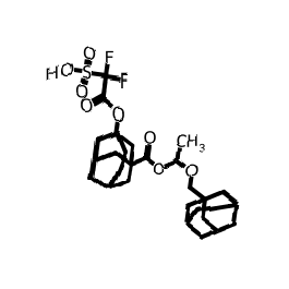 CC(OCC12CC3CC(CC(C3)C1)C2)OC(=O)C12CC3CC(CC(OC(=O)C(F)(F)S(=O)(=O)O)(C3)C1)C2